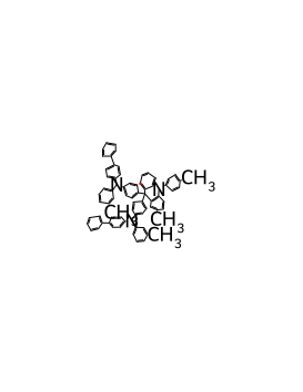 Cc1ccc(N2c3ccccc3C(c3ccc(N(c4ccc(-c5ccccc5)cc4)c4cccc(C)c4)cc3)(c3ccc(N(c4ccc(-c5ccccc5)cc4)c4cccc(C)c4)cc3)c3cc(C)ccc32)cc1